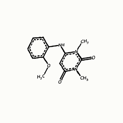 COc1ccccc1Nc1cc(=O)n(C)c(=O)n1C